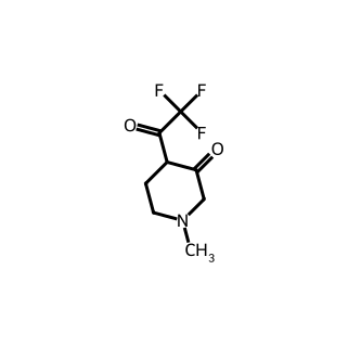 CN1CCC(C(=O)C(F)(F)F)C(=O)C1